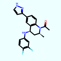 CC(=O)N1c2ccc(-c3cc[nH]n3)cc2[C@H](Nc2ccc(F)c(F)c2)C[C@@H]1C